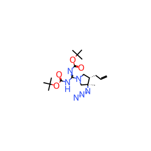 C=CC[C@H]1CN(/C(=N\C(=O)OC(C)(C)C)NC(=O)OC(C)(C)C)C[C@]1(C)N=[N+]=[N-]